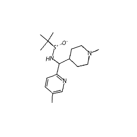 Cc1ccc(C(N[S@@+]([O-])C(C)(C)C)C2CCN(C)CC2)nc1